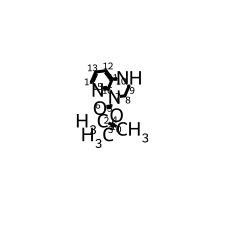 CC(C)(C)OC(=O)N1CCNc2cccnc21